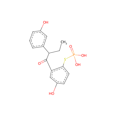 CCC(C(=O)c1cc(O)ccc1SP(=O)(O)O)c1cccc(O)c1